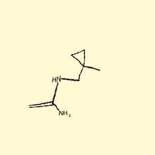 C=C(N)NCC1(C)CC1